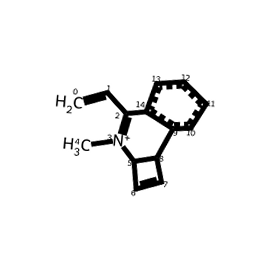 C=CC1=[N+](C)C2C=CC2c2ccccc21